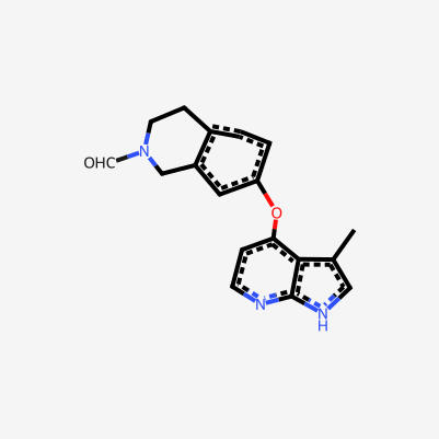 Cc1c[nH]c2nccc(Oc3ccc4c(c3)CN(C=O)CC4)c12